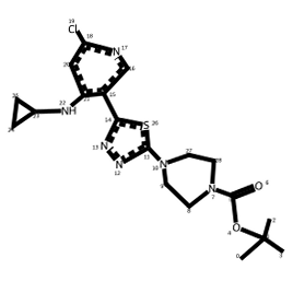 CC(C)(C)OC(=O)N1CCN(c2nnc(-c3cnc(Cl)cc3NC3CC3)s2)CC1